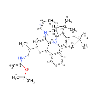 C=C(C)OC(=C)NCC(C)CCC1c2ccccc2-c2cc(CC(C)(C)C)c([Si](C)(C)C)c[n+]2C1C(=C)N(C)/C=C\C